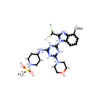 COc1cccc2c1nc(C(F)F)n2-c1nc(NC2CCN(S(C)(=O)=O)CC2)nc(N2CCOCC2)n1